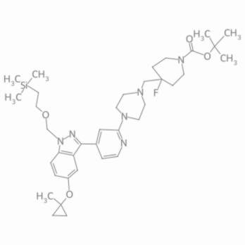 CC(C)(C)OC(=O)N1CCC(F)(CN2CCN(c3cc(-c4nn(COCC[Si](C)(C)C)c5ccc(OC6(C)CC6)cc45)ccn3)CC2)CC1